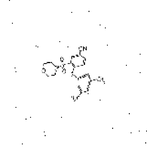 Cc1cc(C)cc(Sc2ccc(C#N)cc2S(=O)(=O)N2CCOCC2)c1